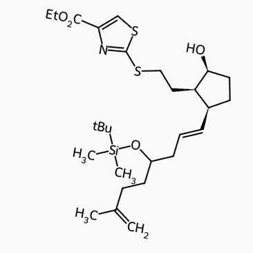 C=C(C)CCC(C/C=C/[C@@H]1CC[C@H](O)[C@@H]1CCSc1nc(C(=O)OCC)cs1)O[Si](C)(C)C(C)(C)C